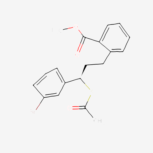 COC(=O)c1ccccc1CC[C@@H](SC(C)=O)c1cccc(Br)c1